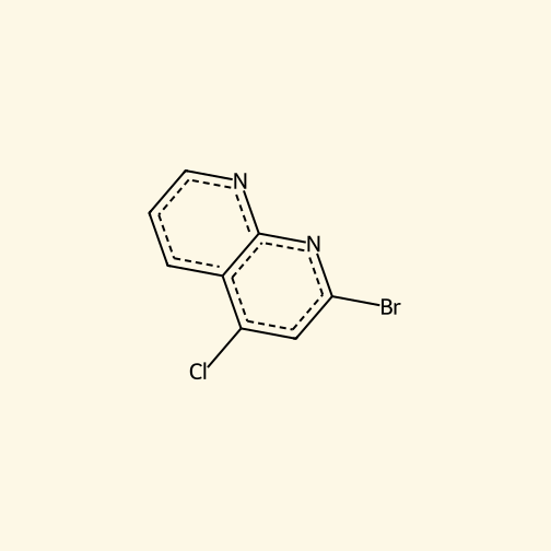 Clc1cc(Br)nc2ncccc12